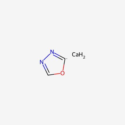 [CaH2].[c]1nnco1